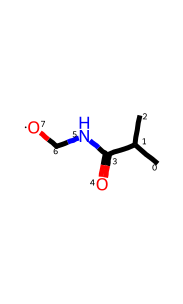 CC(C)C(=O)NC[O]